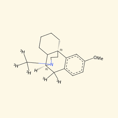 [2H]C1([2H])c2ccc(OC)cc2[C@]23CCCCC2[C@H]1N(C([2H])([2H])[2H])CC3